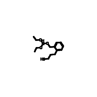 CCO[SiH](OCC)OCc1ccccc1CCCS